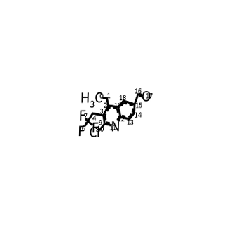 CCc1c(CC(F)(F)F)c(Cl)nc2ccc(C=O)cc12